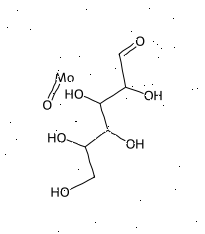 O=CC(O)C(O)C(O)C(O)CO.[O]=[Mo]